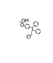 CC(O)Oc1ccc(/C(=C(\CCCl)c2ccccc2)c2ccccc2)cc1